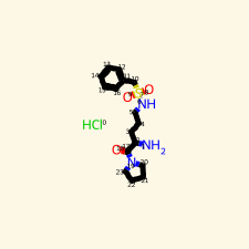 Cl.NC(CCCNS(=O)(=O)Cc1ccccc1)C(=O)N1CCCC1